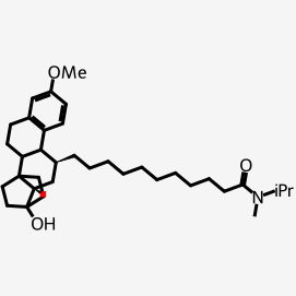 COc1ccc2c(c1)CCC1C2[C@@H](CCCCCCCCCCC(=O)N(C)C(C)C)C[C@]2(C)C3(O)CCC12CC3